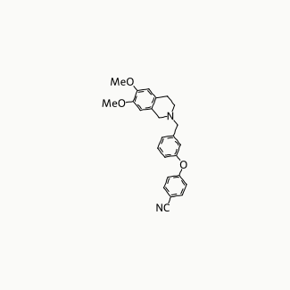 COc1cc2c(cc1OC)CN(Cc1cccc(Oc3ccc(C#N)cc3)c1)CC2